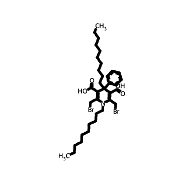 CCCCCCCCCCN1C(CBr)=C(C(=O)O)C(CCCCCCCCCC)(c2ccccc2)C(C(=O)O)=C1CBr